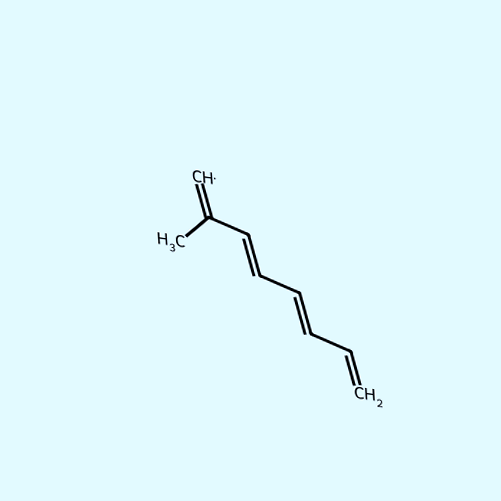 [CH]=C(C)C=CC=CC=C